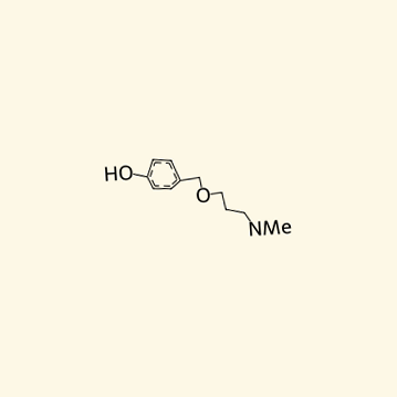 CNCCCOCc1ccc(O)cc1